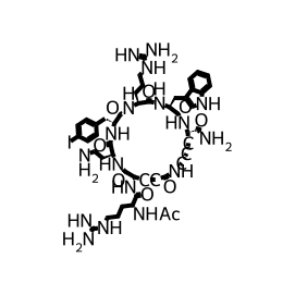 CC(=O)N[C@@H](CCCNC(=N)N)C(=O)N[C@H]1CCC(=O)NCCC[C@@H](C(N)=O)NC(=O)[C@H](Cc2c[nH]c3ccccc23)NC(=O)[C@H](CCCNC(=N)N)NC(=O)[C@@H](Cc2ccc(I)cc2)NC(=O)[C@H](CCN)NC1=O